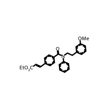 CCOC(=O)C=Cc1ccc(C(=O)N(CCc2cccc(OC)c2)c2ccccc2)cc1